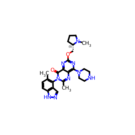 Cc1ccc2[nH]ncc2c1-n1c(C)nc2c(N3CCNCC3)nc(OC[C@@H]3CCCN3C)nc2c1=O